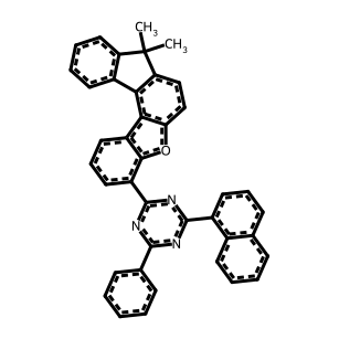 CC1(C)c2ccccc2-c2c1ccc1oc3c(-c4nc(-c5ccccc5)nc(-c5cccc6ccccc56)n4)cccc3c21